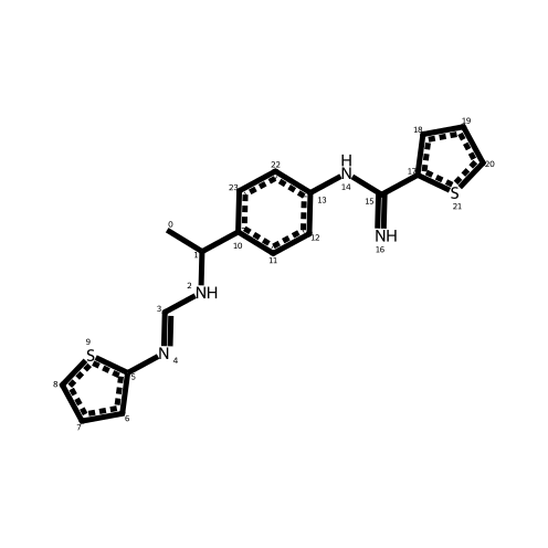 CC(N/C=N/c1cccs1)c1ccc(NC(=N)c2cccs2)cc1